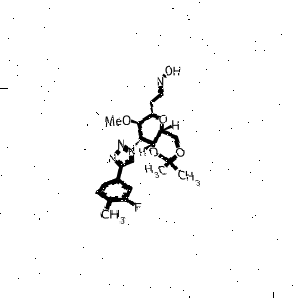 CO[C@@H]1[C@@H](n2cc(-c3ccc(C)c(F)c3)nn2)[C@H]2OC(C)(C)OC[C@H]2O[C@@H]1CC=NO